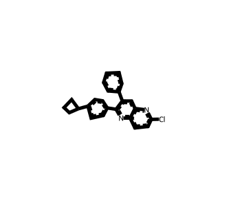 Clc1ccc2nc(-c3ccc([C]4CCC4)cc3)c(-c3ccccc3)cc2n1